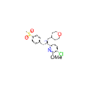 COc1nc(/C(=C\C2CCOCC2)Cc2ccc(S(C)(=O)=O)cc2)ccc1Cl